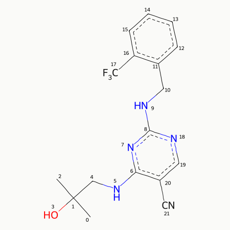 CC(C)(O)CNc1nc(NCc2ccccc2C(F)(F)F)ncc1C#N